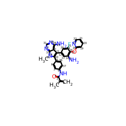 C=C(C)C(=O)Nc1ccc(-c2c(-c3cc(N)c(Oc4ccccn4)c(F)c3)c3c(N)ncnc3n2C)cc1